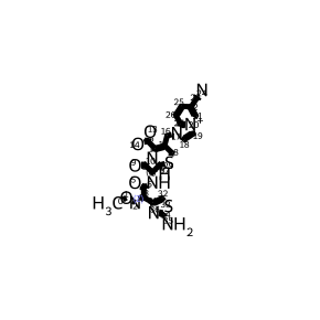 CO/N=C(\C(=O)N[C@@H]1C(=O)N2C(C(=O)[O-])=C(Cn3cc[n+]4cc(C#N)ccc34)CS[C@@H]12)c1csc(N)n1